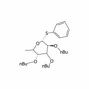 CCCCOC1[C@H](OCCCC)C(C)O[C@H](Sc2ccccc2)[C@H]1OCCCC